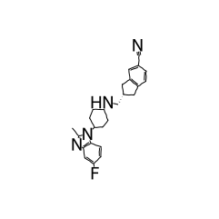 Cc1nc2cc(F)ccc2n1C1CCC(NC[C@H]2Cc3ccc(C#N)cc3C2)CC1